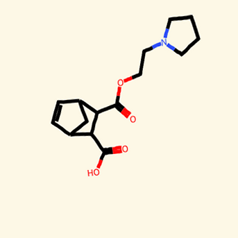 O=C(O)C1C2C=CC(C2)C1C(=O)OCCN1CCCC1